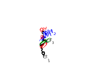 Cl.N=C(N)N1CC(O)C[C@H]1c1nc(-c2ccc(OCCCc3ccc(C(F)(F)F)cc3)c(C(F)(F)F)c2)no1